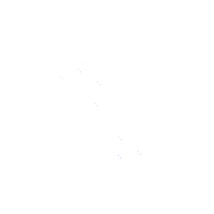 Cn1cc(C(F)(F)F)nc1N1CCC(CNc2nc(-c3ccccc3C(C)(C)O)nc3ncccc23)CC1